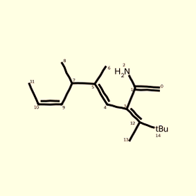 C=C(N)C(/C=C(\C)C(C)/C=C\C)=C(/C)C(C)(C)C